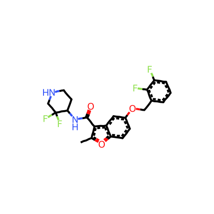 Cc1oc2ccc(OCc3cccc(F)c3F)cc2c1C(=O)NC1CCNCC1(F)F